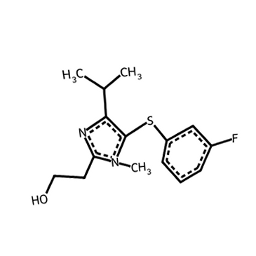 CC(C)c1nc(CCO)n(C)c1Sc1cccc(F)c1